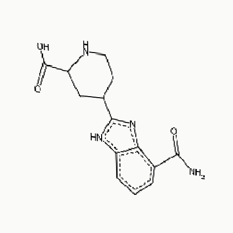 NC(=O)c1cccc2[nH]c(C3CCNC(C(=O)O)C3)nc12